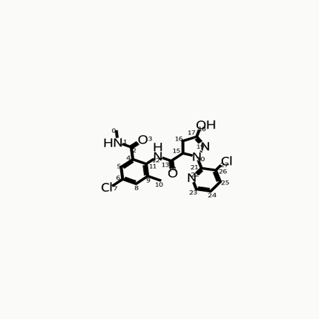 CNC(=O)c1cc(Cl)cc(C)c1NC(=O)C1CC(O)=NN1c1ncccc1Cl